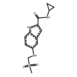 CS(=O)(=O)CNc1ccc2[nH]c(C(=O)NC3CC3)cc2c1